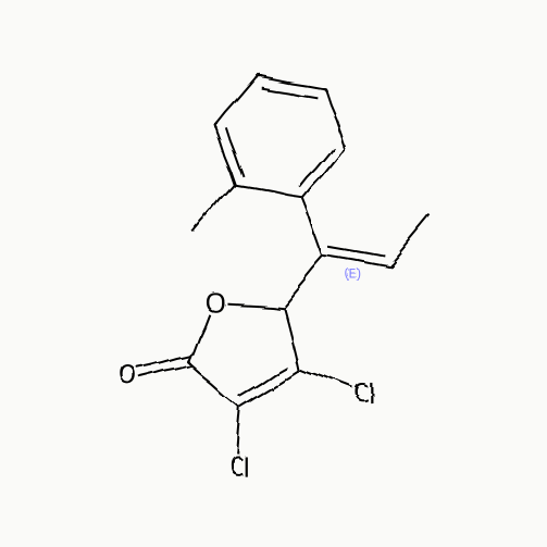 C/C=C(\c1ccccc1C)C1OC(=O)C(Cl)=C1Cl